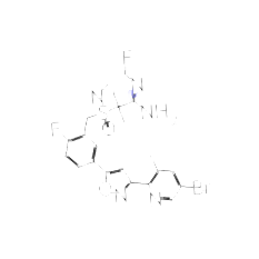 CN=S(=O)(Cc1cc(-c2cc(-c3ncc(Br)cc3C)no2)ccc1F)C(C)(C)/C(N)=N\CF